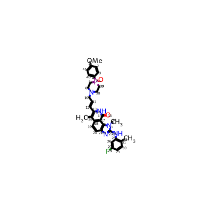 COc1ccc(P2(=O)CCN(CC=Cc3[nH]c(=O)c4c(ccc5nc(Nc6cc(F)ccc6C)n(C)c54)c3C)CC2)cc1